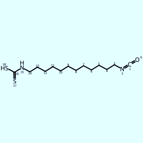 O=C=NCCCCCCCCCCCCNC(=S)S